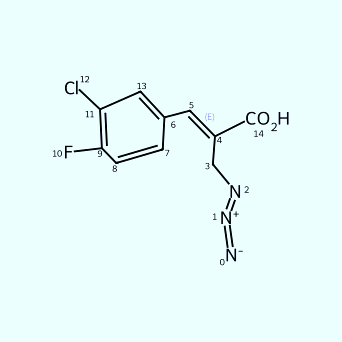 [N-]=[N+]=NC/C(=C\c1ccc(F)c(Cl)c1)C(=O)O